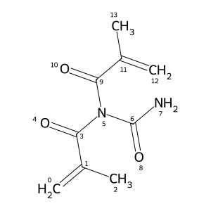 C=C(C)C(=O)N(C(N)=O)C(=O)C(=C)C